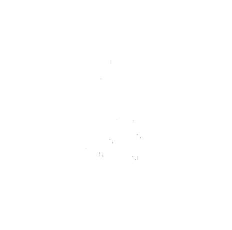 NC(=N[N+](=O)[O-])Nc1ccc(C(F)(F)F)cc1